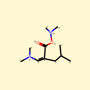 CC(C)CC(=CN(C)C)C(=O)ON(C)C